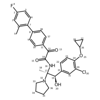 Cc1cc(F)ccc1-c1ccc(C(=O)C(=O)N[C@@](C)([C@H](O)c2ccc(OC3CC3)c(Cl)c2)N2CCCC2)cc1